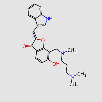 CN(C)CCCN(C)Cc1c(O)ccc2c1O/C(=C\c1c[nH]c3ccccc13)C2=O